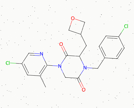 Cc1cc(Cl)cnc1N1CC(=O)N(Cc2ccc(Cl)cc2)C(CC2COC2)C1=O